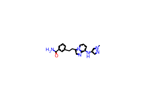 Cn1cc(Nc2cccn3c(CCc4cccc(C(N)=O)c4)cnc23)cn1